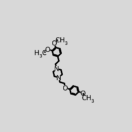 COc1ccc(OCCN2CCN(CCc3ccc(OC)c(OC)c3)CC2)cc1